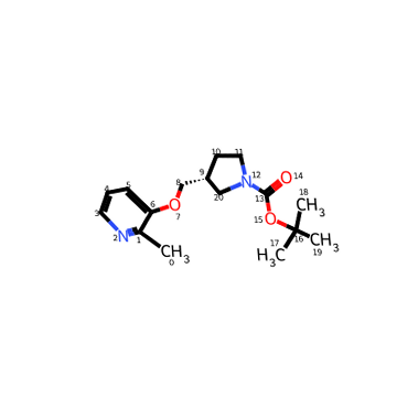 Cc1ncccc1OC[C@@H]1CCN(C(=O)OC(C)(C)C)C1